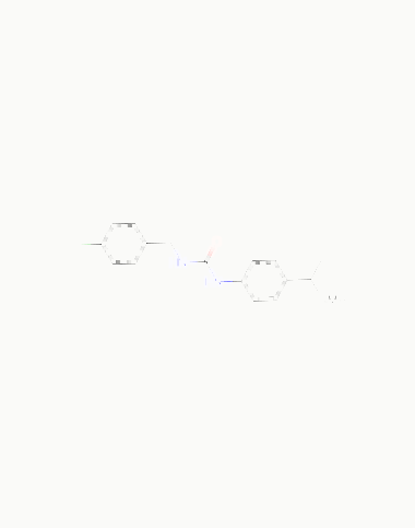 CSC(C)c1ccc(NC(=O)NCc2ccc(Cl)cc2)cc1